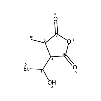 CCC(O)C1C(=O)OC(=O)C1C